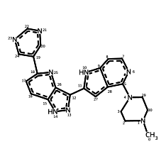 CN1CCN(c2nccc3[nH]c(-c4n[nH]c5ccc(-c6cncnc6)nc45)cc23)CC1